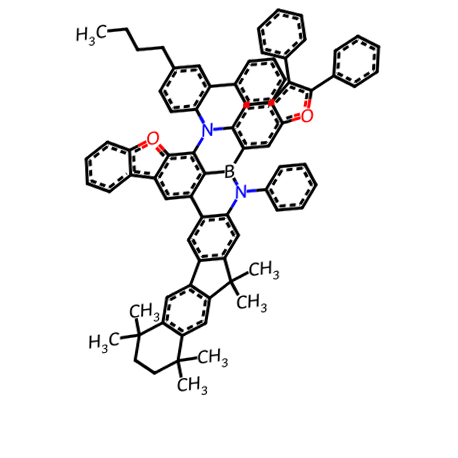 CCCCc1ccc(N2c3cc4c(-c5ccccc5)c(-c5ccccc5)oc4cc3B3c4c(cc5c(oc6ccccc65)c42)-c2cc4c(cc2N3c2ccccc2)C(C)(C)c2cc3c(cc2-4)C(C)(C)CCC3(C)C)c(-c2ccccc2)c1